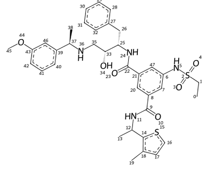 CCS(=O)(=O)Nc1cc(C(=O)NC(C)c2sccc2C)cc(C(=O)N[C@@H](Cc2ccccc2)[C@H](O)CN[C@H](C)c2cccc(OC)c2)c1